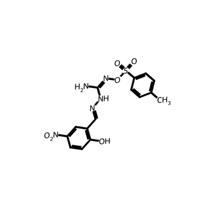 Cc1ccc(S(=O)(=O)ON=C(N)NN=Cc2cc([N+](=O)[O-])ccc2O)cc1